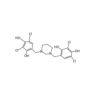 Oc1c(Cl)cc(CN2CCCN(Cc3cc(Cl)c(O)c(Cl)c3O)C2)c(O)c1Cl